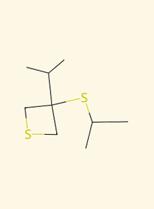 CC(C)SC1(C(C)C)CSC1